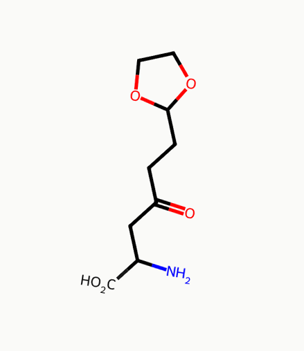 NC(CC(=O)CCC1OCCO1)C(=O)O